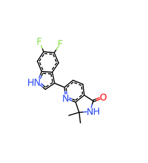 CC1(C)NC(=O)c2ccc(-c3c[nH]c4cc(F)c(F)cc34)nc21